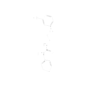 S=C(NCCOc1cccc(Cl)c1)NC1=CC[CH]C=C1